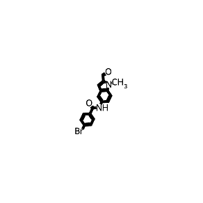 Cn1c(C=O)cc2cc(NC(=O)c3ccc(Br)cc3)ccc21